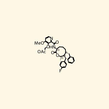 COc1ccnc(C(=O)N[C@H]2CCC[C@H](Cc3ccccc3)[C@@H](Cc3ccc(F)cc3)[C@H](C)OC2=O)c1OCOC(C)=O